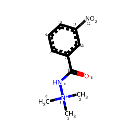 C[N+](C)(C)NC(=O)c1cccc([N+](=O)[O-])c1